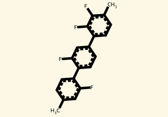 Cc1ccc(-c2ccc(-c3ccc(C)c(F)c3F)cc2F)c(F)c1